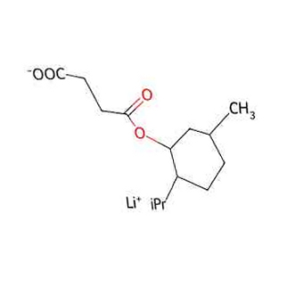 CC1CCC(C(C)C)C(OC(=O)CCC(=O)[O-])C1.[Li+]